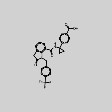 O=C(O)c1ccc(C2(NC(=O)c3cccc4c3N(Cc3ccc(C(F)(F)F)cc3)C(=O)C4)CC2)cc1